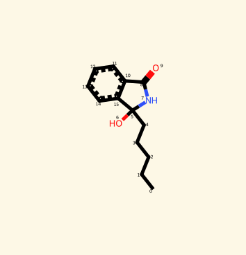 CCCCCC1(O)NC(=O)c2ccccc21